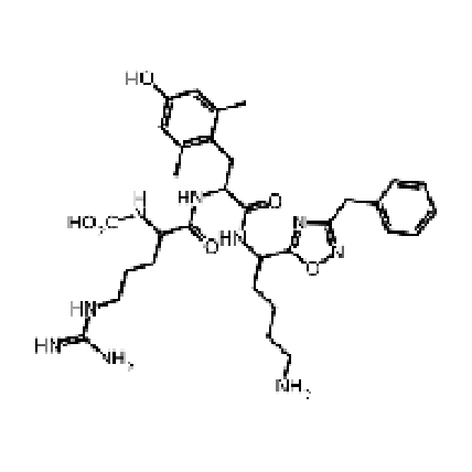 Cc1cc(O)cc(C)c1CC(NC(=O)C(CCCNC(=N)N)NC(=O)O)C(=O)NC(CCCCN)c1nc(Cc2ccccc2)no1